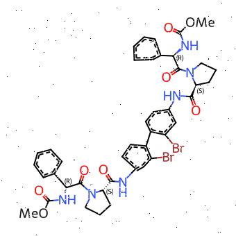 COC(=O)N[C@@H](C(=O)N1CCC[C@H]1C(=O)Nc1ccc(-c2ccc(NC(=O)[C@@H]3CCCN3C(=O)[C@H](NC(=O)OC)c3ccccc3)cc2Br)c(Br)c1)c1ccccc1